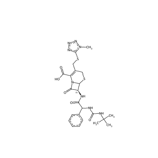 Cn1nnnc1SCC1=C(C(=O)O)N2C(=O)[C@H](NC(=O)C(NC(=O)NC(C)(C)C)c3ccccc3)C2SC1